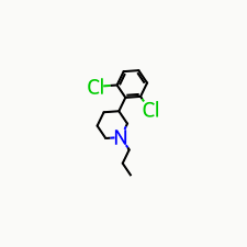 CCCN1CCCC(c2c(Cl)cccc2Cl)C1